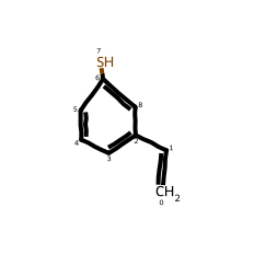 C=Cc1cccc(S)c1